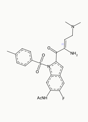 CC(=O)Nc1cc2c(cc1F)cc(C(=O)/C(N)=C/CN(C)C)n2S(=O)(=O)c1ccc(C)cc1